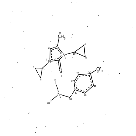 Cc1cn(C2CC2)[c](=[Pt])n1C1CC1.FC(F)(F)c1ccc(CN(I)I)cc1